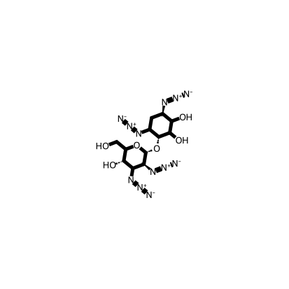 [N-]=[N+]=NC1C[C@@H](N=[N+]=[N-])C(O)C(O)[C@@H]1O[C@H]1OC(CO)[C@@H](O)C(N=[N+]=[N-])[C@@H]1N=[N+]=[N-]